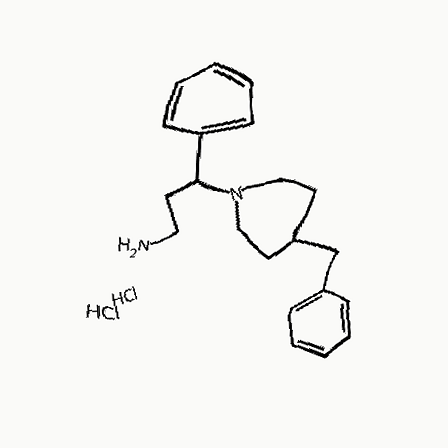 Cl.Cl.NCCC(c1ccccc1)N1CCC(Cc2ccccc2)CC1